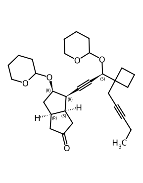 CCC#CCC1([C@@H](C#C[C@H]2[C@H]3CC(=O)C[C@H]3C[C@H]2OC2CCCCO2)OC2CCCCO2)CCC1